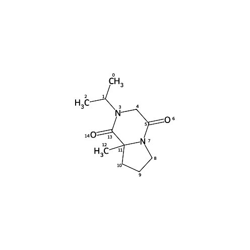 CC(C)N1CC(=O)N2CCCC2(C)C1=O